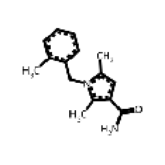 Cc1ccccc1Cn1c(C)cc(C(N)=O)c1C